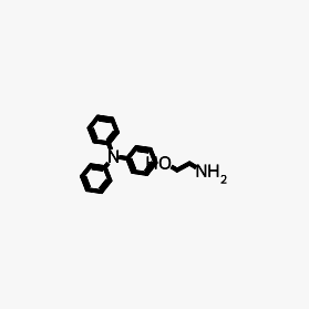 NCCO.c1ccc(N(c2ccccc2)c2ccccc2)cc1